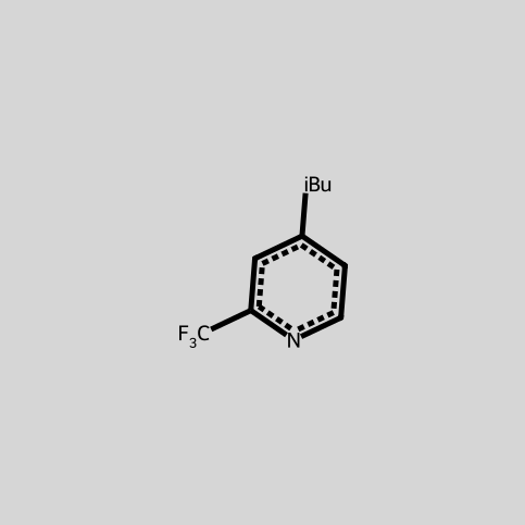 CCC(C)c1ccnc(C(F)(F)F)c1